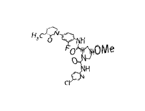 CO[C@@H]1C[C@H](C(=O)Nc2ccc(N3CCCC(C)C3=O)cc2F)N(C(=O)Nc2ccc(Cl)cn2)C1